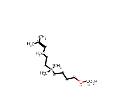 CC(C)=C[SiH2]CC[Si](C)(C)CCCCOC(=O)O